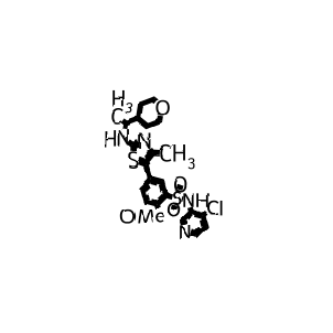 COc1ccc(-c2sc(NC(C)C3CCOCC3)nc2C)cc1S(=O)(=O)Nc1cnccc1Cl